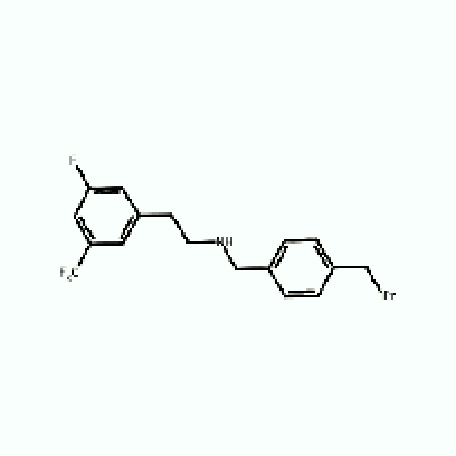 CC(C)Cc1ccc(CNCCc2cc(F)cc(C(F)(F)F)c2)cc1